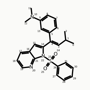 CC(C)C=C(c1cccc(N(C)C)c1)c1cc2cccnc2n1S(=O)(=O)c1ccccc1